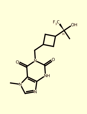 Cn1cnc2[nH]c(=O)n(CC3CC([C@@](C)(O)C(F)(F)F)C3)c(=O)c21